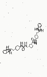 O=C(NCC1CCCC(CNC(=O)N[C@H]2CC[C@H](CCN3[C@@H]4CC[C@H]3c3ccccc34)CC2)C1)N[C@H]1CC[C@H](CCN2[C@@H]3CC[C@H]2c2ccccc23)CC1